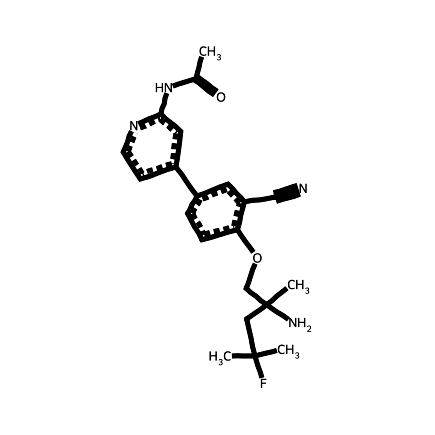 CC(=O)Nc1cc(-c2ccc(OCC(C)(N)CC(C)(C)F)c(C#N)c2)ccn1